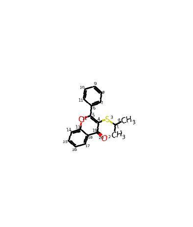 CC(C)Sc1c(-c2ccccc2)oc2ccccc2c1=O